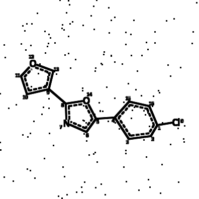 Clc1ccc(-c2cnc(-c3ccoc3)o2)cc1